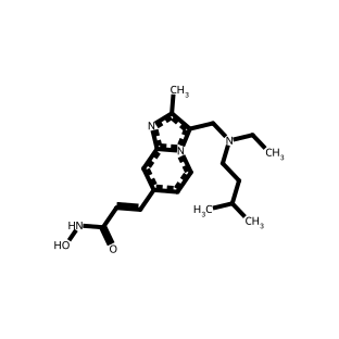 CCN(CCC(C)C)Cc1c(C)nc2cc(C=CC(=O)NO)ccn12